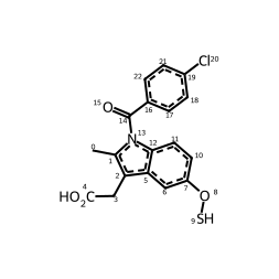 Cc1c(CC(=O)O)c2cc(OS)ccc2n1C(=O)c1ccc(Cl)cc1